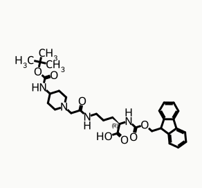 CC(C)(C)OC(=O)NC1CCN(CC(=O)NCCC[C@@H](NC(=O)OCC2c3ccccc3-c3ccccc32)C(=O)O)CC1